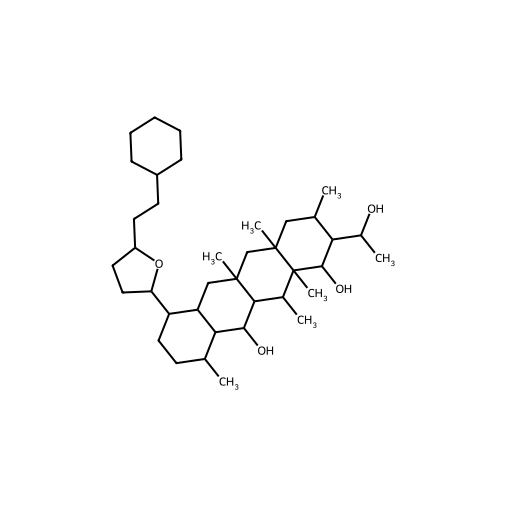 CC(O)C1C(C)CC2(C)CC3(C)CC4C(C5CCC(CCC6CCCCC6)O5)CCC(C)C4C(O)C3C(C)C2(C)C1O